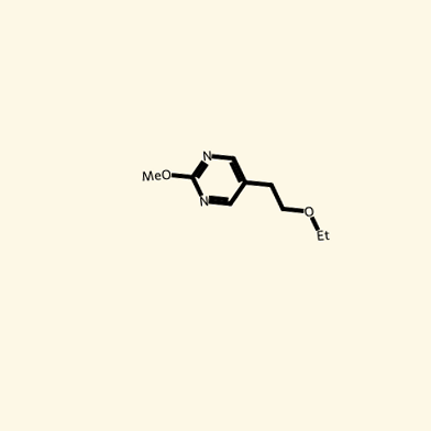 CCOCCc1cnc(OC)nc1